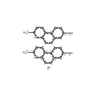 Cc1ccc2c(ccc3cc(S)ccc32)n1.Cc1ccc2c(ccc3cc(S)ccc32)n1.[Zn]